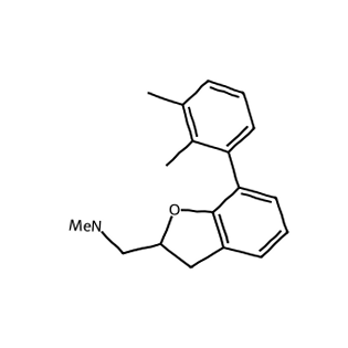 CNCC1Cc2cccc(-c3cccc(C)c3C)c2O1